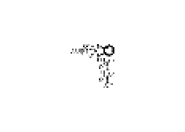 [Al+3].[Al+3].[Al+3].[Al+3].[O-][Si]([O-])([O-])[O-].[O-][Si]([O-])([O-])[O-].[O-][Si]([O-])([O-])[O-].c1ccc2[nH]nnc2c1